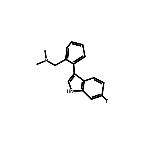 CN(C)Cc1ccccc1-c1c[nH]c2cc(F)ccc12